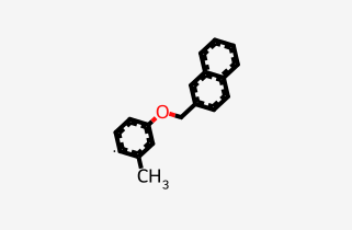 Cc1[c]ccc(OCc2ccc3ccccc3c2)c1